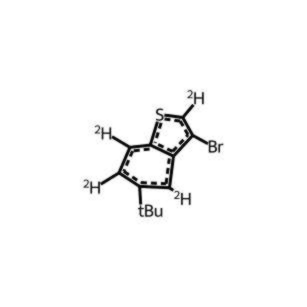 [2H]c1sc2c([2H])c([2H])c(C(C)(C)C)c([2H])c2c1Br